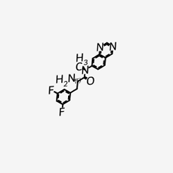 CN(C(=O)[C@@H](N)Cc1cc(F)cc(F)c1)c1ccc2cncnc2c1